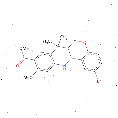 COC(=O)c1cc2c(cc1OC)NC1c3cc(Br)ccc3OCC1C2(C)C